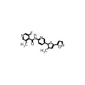 Cc1cncc(F)c1C(=O)Nc1ccc(C2SC(c3ccno3)=CC2C)cn1